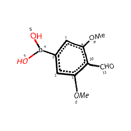 COc1cc(B(O)O)cc(OC)c1C=O